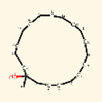 CC1(O)CCCCCCCCCCCCCCCCCC1